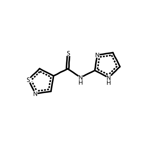 S=C(Nc1ncc[nH]1)c1cnsc1